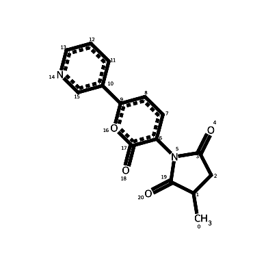 CC1CC(=O)N(c2ccc(-c3cccnc3)oc2=O)C1=O